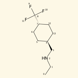 CCNC[C@H]1CC[C@H](C(F)(F)F)CC1